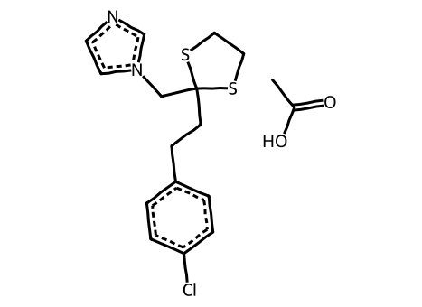 CC(=O)O.Clc1ccc(CCC2(Cn3ccnc3)SCCS2)cc1